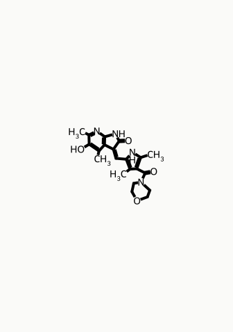 Cc1nc2c(c(C)c1O)C(=Cc1[nH]c(C)c(C(=O)N3CCOCC3)c1C)C(=O)N2